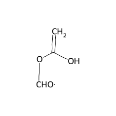 C=C(O)O[C]=O